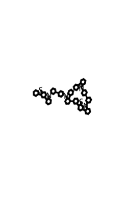 c1cc(-c2ccc(-n3c4ccccc4c4c(-c5ccc6sc7c(ccc8c9ccccc9n(-c9cccc(-c%10ccc(-n%11c%12ccccc%12c%12ccccc%12%11)cc%10)c9)c87)c6c5)cccc43)cc2)cc(-n2c3ccccc3c3cc4c(cc32)sc2ccccc24)c1